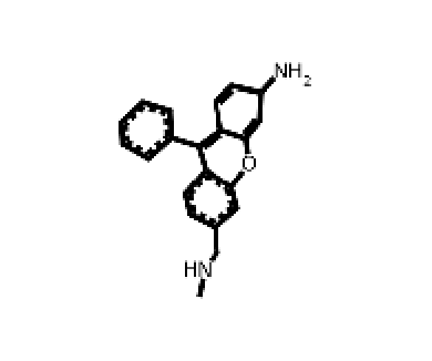 CNCc1ccc2c(c1)OC1=CC(N)C=CC1=C2c1ccccc1